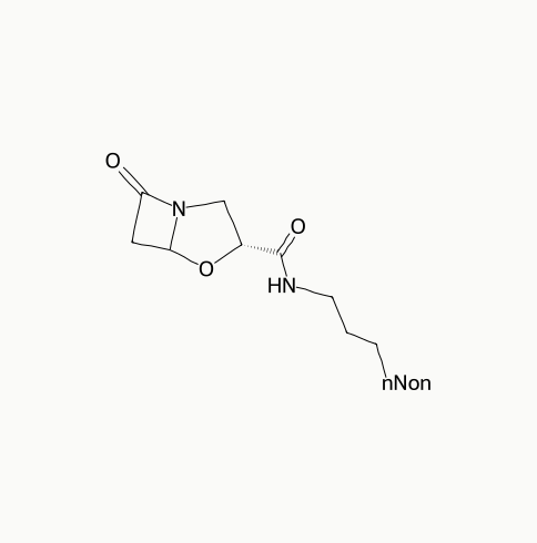 CCCCCCCCCCCCNC(=O)[C@H]1CN2C(=O)CC2O1